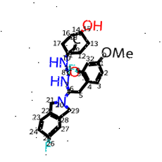 COc1ccc(CC(NC(=O)NC23CCC(O)(CC2)CC3)N2Cc3ccc(F)cc3C2)c(F)c1